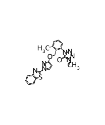 Cc1cccc(-n2nnn(C)c2=O)c1COc1ccn(-c2nc3ccccc3s2)n1